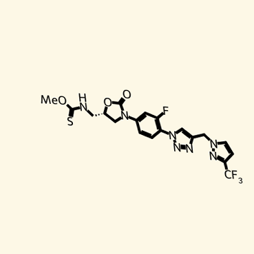 COC(=S)NC[C@H]1CN(c2ccc(-n3cc(Cn4ccc(C(F)(F)F)n4)nn3)c(F)c2)C(=O)O1